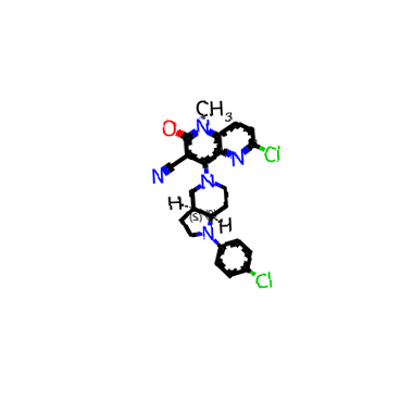 Cn1c(=O)c(C#N)c(N2CC[C@@H]3[C@@H](CCN3c3ccc(Cl)cc3)C2)c2nc(Cl)ccc21